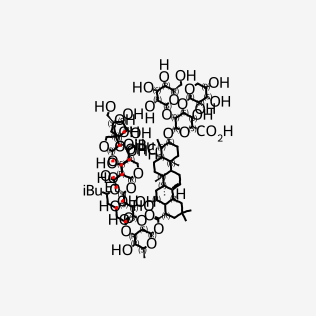 CCC(C)C(CC(O)CC(=O)O[C@@H]1[C@H](O)[C@H](C)O[C@H](OC(=O)[C@@H]2CC(C)(C)C[C@@H]3C4=CCC5[C@@]6(C)CC[C@H](O[C@@H]7O[C@H](C(=O)O)[C@@H](O)[C@H](O[C@H]8OC[C@@H](O)[C@H](O)[C@H]8O)[C@H]7O[C@@H]7O[C@H](CO)[C@H](O)[C@H](O)[C@H]7O)[C@@](C)(C=O)[C@@H]6CC[C@@]5(C)[C@]4(C)C[C@@H](O)C32)[C@H]1O[C@H](O)[C@H](O)[C@H](O)[C@H](CC)O[C@H]1OC[C@@H](O)[C@H](O[C@H]2OC[C@](O)(CO)[C@H]2O)[C@H]1O)OC(=O)CC(O)CC(O[C@@H]1C[C@@H](CO)[C@H](O)[C@H]1O)C(C)CC